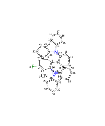 N#CC1=C(F)CCC(c2ccccc2-n2c3ccccc3c3ccccc32)=C1n1c2ccccc2c2ccccc21